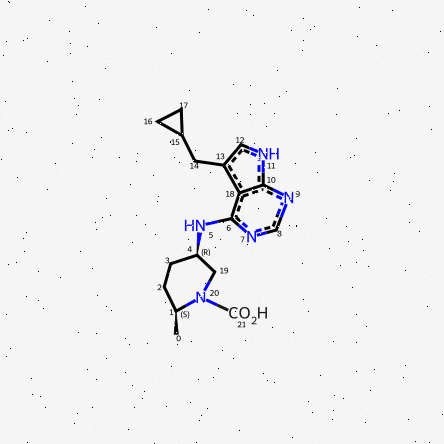 C[C@H]1CC[C@@H](Nc2ncnc3[nH]cc(CC4CC4)c23)CN1C(=O)O